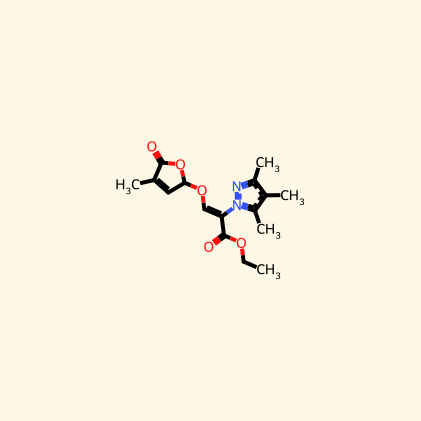 CCOC(=O)/C(=C/OC1C=C(C)C(=O)O1)n1nc(C)c(C)c1C